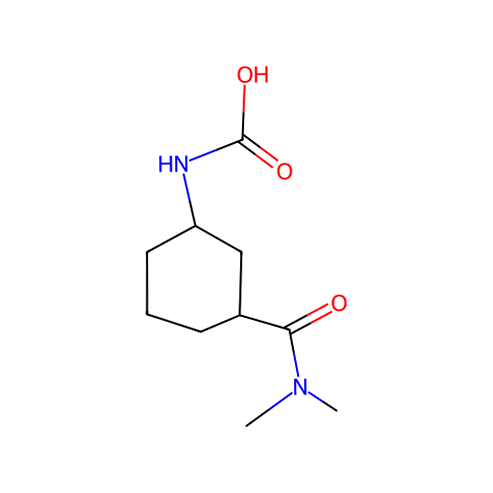 CN(C)C(=O)C1CCCC(NC(=O)O)C1